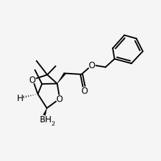 B[C@@H]1O[C@]2(CC(=O)OCc3ccccc3)C(C)[C@@H]1OC2(C)C